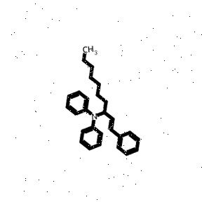 CCCCCCCC(C=Cc1ccccc1)N(c1ccccc1)c1ccccc1